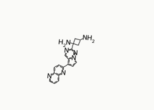 NC1CC(N)(c2ncc3c(-c4ccc5ncccc5n4)ccn3n2)C1